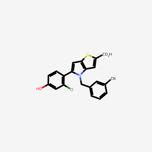 N#Cc1cccc(Cn2c(-c3ccc(O)cc3Cl)cc3sc(C(=O)O)cc32)c1